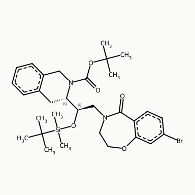 CC(C)(C)OC(=O)N1Cc2ccccc2C[C@H]1[C@@H](CN1CCOc2cc(Br)ccc2C1=O)O[Si](C)(C)C(C)(C)C